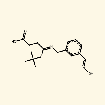 CC(C)(C)OC(CCC(=O)O)=NCc1cccc(C=NO)c1